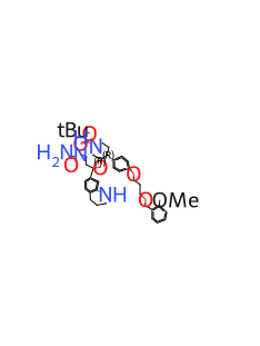 COc1ccccc1COCCCOc1ccc([C@H]2CCN(C(=O)OC(C)(C)C)C[C@@H]2OC(CCNC(N)=O)c2ccc3c(c2)NCCC3)cc1